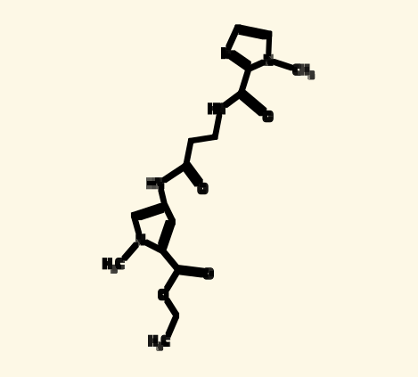 CCOC(=O)c1cc(NC(=O)CCNC(=O)c2nccn2C)cn1C